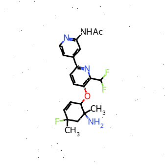 CC(=O)Nc1cc(-c2ccc(OC3C=CC(C)(F)CC3(C)N)c(C(F)F)n2)ccn1